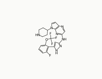 Fc1cccc(OC(F)(F)F)c1-c1cc(Nc2cnc3ccn(C4CCNCC4)c3n2)n[nH]1